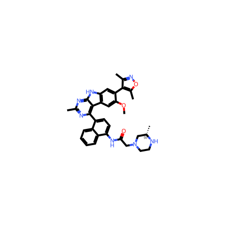 COc1cc2c(cc1-c1c(C)noc1C)[nH]c1nc(C)nc(-c3ccc(NC(=O)CN4CCN[C@@H](C)C4)c4ccccc34)c12